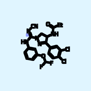 CCC(=O)NC1CN(/C(=N\C#N)Nc2cccc(OC(F)F)c2)N=C1c1ccc(Cl)c(Cl)c1